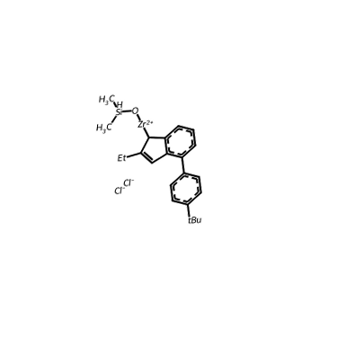 CCC1=Cc2c(-c3ccc(C(C)(C)C)cc3)cccc2[CH]1[Zr+2][O][SiH](C)C.[Cl-].[Cl-]